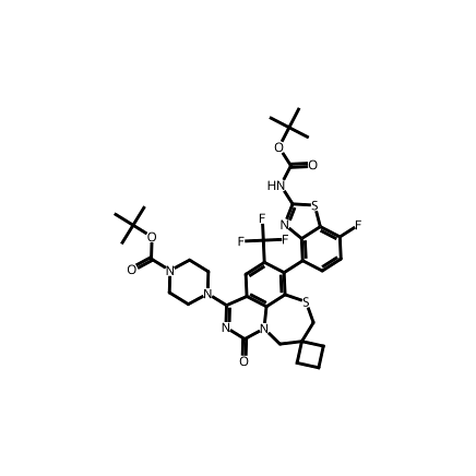 CC(C)(C)OC(=O)Nc1nc2c(-c3c(C(F)(F)F)cc4c(N5CCN(C(=O)OC(C)(C)C)CC5)nc(=O)n5c4c3SCC3(CCC3)C5)ccc(F)c2s1